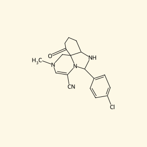 CN1C=C(C#N)N2C(c3ccc(Cl)cc3)NC3CCCC(=O)C32C1